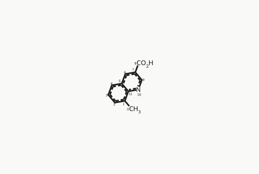 Cc1cccc2cc(C(=O)O)cnc12